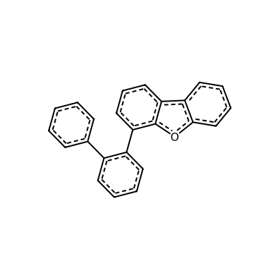 c1ccc(-c2ccccc2-c2cccc3c2oc2ccccc23)cc1